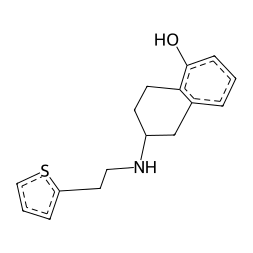 Oc1cccc2c1CCC(NCCc1cccs1)C2